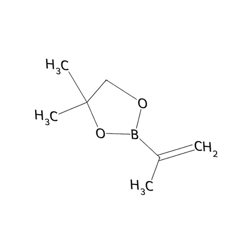 C=C(C)B1OCC(C)(C)O1